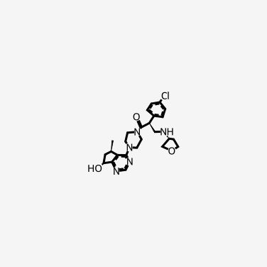 C[C@@H]1C[C@H](O)c2ncnc(N3CCN(C(=O)[C@H](CN[C@@H]4CCOC4)c4ccc(Cl)cc4)CC3)c21